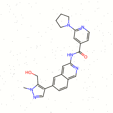 Cn1ncc(-c2ccc3cnc(NC(=O)c4ccnc(N5CCCC5)c4)cc3c2)c1CO